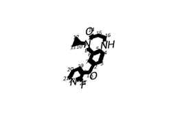 O=C(c1ccc2c(c1)CN(C1CC1)C(=O)CCN2)c1cccnc1F